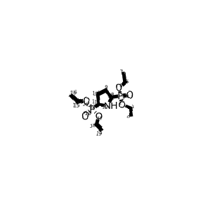 CCOP(=O)(OCC)C1CCC(P(=O)(OCC)OCC)N1